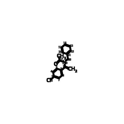 C=C(c1ccc(Cl)cc1)N(Cc1ccccc1)C(C)=O